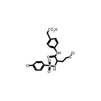 CCSCCC(NS(=O)(=O)c1ccc(Cl)cc1)C(=O)Nc1ccc(CC(=O)O)cc1